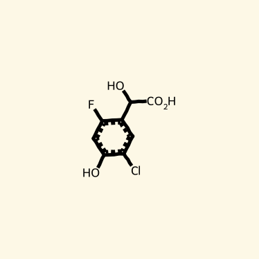 O=C(O)C(O)c1cc(Cl)c(O)cc1F